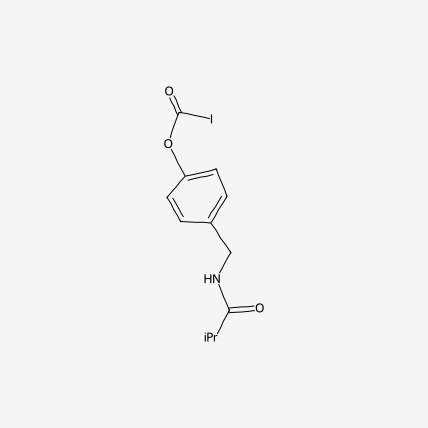 CC(C)C(=O)NCc1ccc(OC(=O)I)cc1